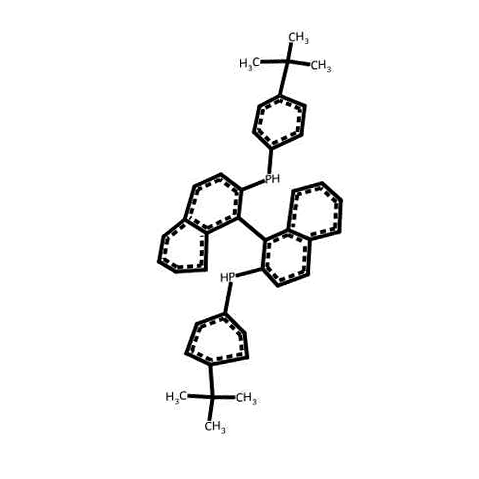 CC(C)(C)c1ccc(Pc2ccc3ccccc3c2-c2c(Pc3ccc(C(C)(C)C)cc3)ccc3ccccc23)cc1